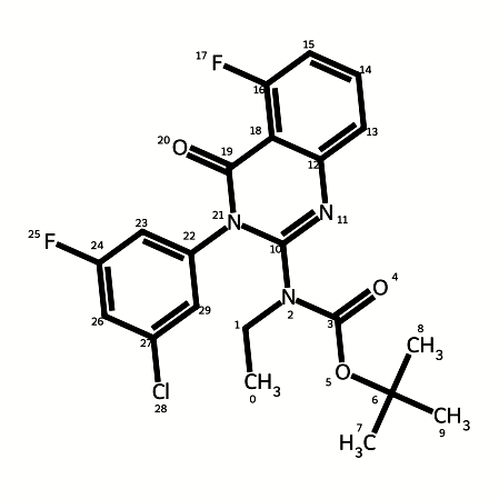 CCN(C(=O)OC(C)(C)C)c1nc2cccc(F)c2c(=O)n1-c1cc(F)cc(Cl)c1